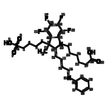 CC1(CCCCS(=O)(=O)O)C(=CC=CC=Nc2ccccc2)N(CCCCCC(=O)O)c2c(F)c(F)c(F)c(F)c21